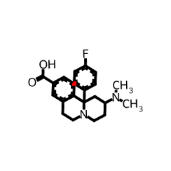 CN(C)C1CCN2CCc3cc(C(=O)O)ccc3C2(c2ccc(F)cc2)C1